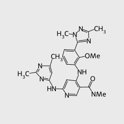 CNC(=O)c1cnc(Nc2cc(C)nc(C)n2)cc1Nc1cccc(-c2nc(C)nn2C)c1OC